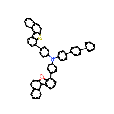 c1ccc(-c2ccc(-c3ccc(N(c4ccc(-c5cccc6c5oc5ccc7ccccc7c56)cc4)c4ccc(-c5cccc6c5sc5ccc7ccccc7c56)cc4)cc3)cc2)cc1